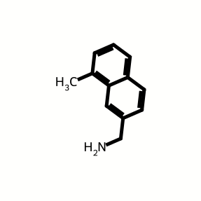 Cc1cccc2ccc(CN)cc12